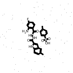 Cc1ccc(S(=O)(=O)O)cc1.Cc1ccc2[nH]c(C(=O)NNC(=O)c3ccc(F)cc3N)cc2c1